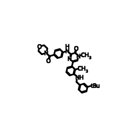 Cc1c(NCc2cccc(C(C)(C)C)c2)cccc1-c1cn(C)c(=O)c(Nc2ccc(C(=O)N3CCOCC3)cc2)n1